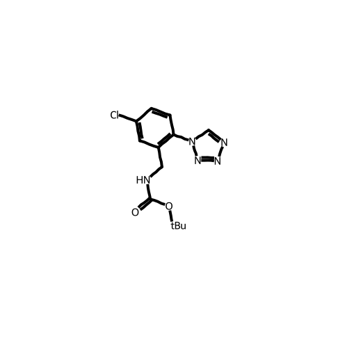 CC(C)(C)OC(=O)NCc1cc(Cl)ccc1-n1cnnn1